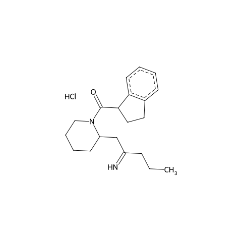 CCCC(=N)CC1CCCCN1C(=O)C1CCc2ccccc21.Cl